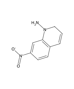 NN1CC=Cc2ccc([N+](=O)[O-])cc21